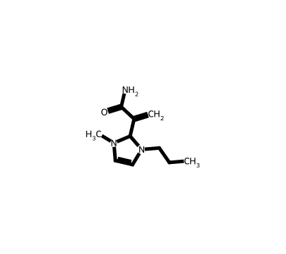 C=C(C(N)=O)C1N(C)C=CN1CCC